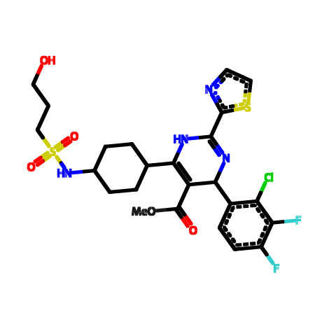 COC(=O)C1=C(C2CCC(NS(=O)(=O)CCCO)CC2)NC(c2nccs2)=NC1c1ccc(F)c(F)c1Cl